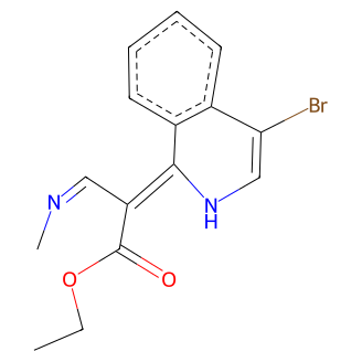 CCOC(=O)C(/C=N\C)=C1\NC=C(Br)c2ccccc21